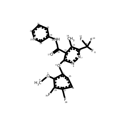 COc1c(Oc2nnc(C(F)(F)F)c(C)c2C(=O)Nc2cccnc2)ccc(F)c1F